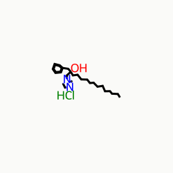 CCCCCCCCCCCCCC(O)(Cc1ccccc1)CN1C=NCC1.Cl